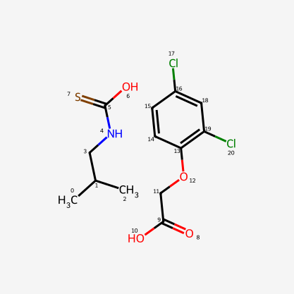 CC(C)CNC(O)=S.O=C(O)COc1ccc(Cl)cc1Cl